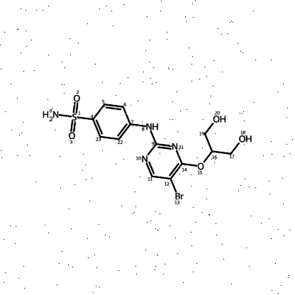 NS(=O)(=O)c1ccc(Nc2ncc(Br)c(OC(CO)CO)n2)cc1